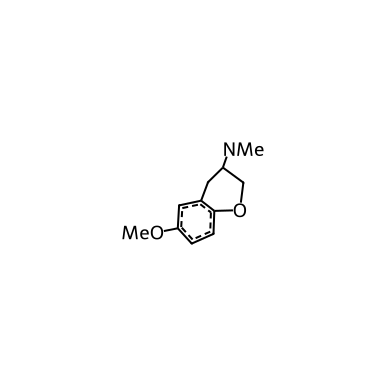 CNC1COc2ccc(OC)cc2C1